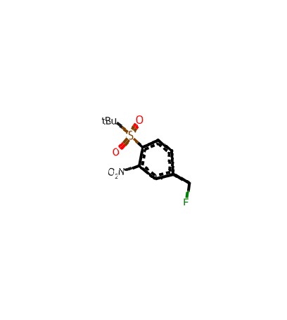 CC(C)(C)S(=O)(=O)c1ccc(CF)cc1[N+](=O)[O-]